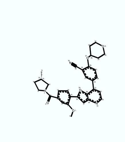 COc1cc(C(=O)N2CC[C@H](F)C2)ccc1-c1cc2nccc(-c3ccc(OC4CCOCC4)c(C#N)c3)c2o1